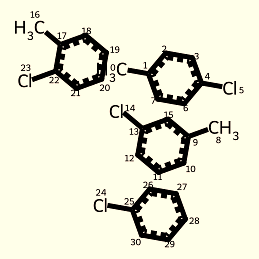 Cc1ccc(Cl)cc1.Cc1cccc(Cl)c1.Cc1ccccc1Cl.Clc1ccccc1